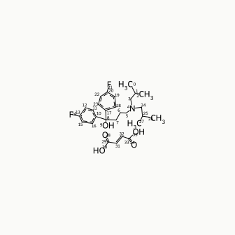 CC(C)CN(CCCC(O)(c1ccc(F)cc1)c1ccc(F)cc1)CC(C)C.O=C(O)C=CC(=O)O